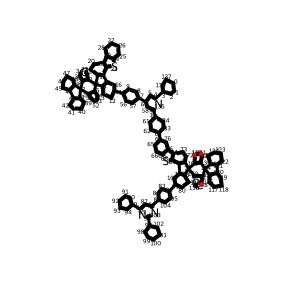 c1ccc(-c2cc(-c3ccc(-c4ccc5c(c4)-c4c(ccc6c4sc4ccccc46)C54c5ccccc5C5(c6ccccc6-c6ccccc65)c5ccccc54)cc3)cc(-c3ccc(-c4ccc5sc6c7c(ccc6c5c4)C4(c5ccc(-c6ccc(-c8cc(-c9ccccc9)nc(-c9ccccc9)n8)cc6)cc5-7)c5ccccc5C5(c6ccccc6-c6ccccc65)c5ccccc54)cc3)n2)cc1